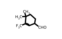 CC1(C)CCC(C=O)C=C1C(F)(F)F